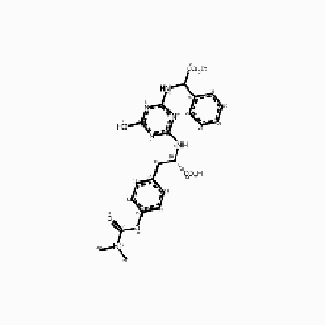 CCOC(=O)C(Nc1nc(O)nc(N[C@@H](Cc2ccc(OC(=O)N(C)C)cc2)C(=O)O)n1)c1ccccc1